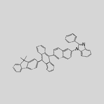 CC1(C)c2ccccc2-c2ccc(-c3c4ccccc4c(-c4ccc5cc(-n6c(-c7ccccc7)nc7ccccc76)ccc5c4)c4ccccc34)cc21